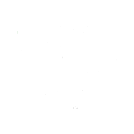 CC(C)(C)c1ccc2c(c1)-c1cc(C(C)(C)C)ccc1[CH]2/[Zr+2]([C]1=CC=CC1)=[C](\c1ccccc1)c1ccc(Cl)cc1.[Cl-].[Cl-]